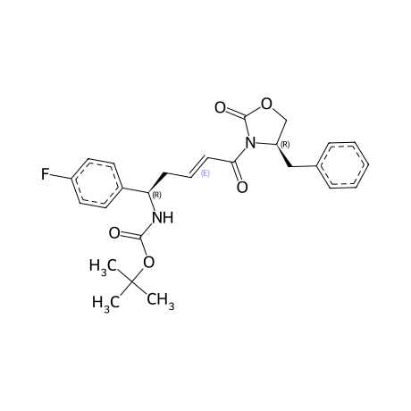 CC(C)(C)OC(=O)N[C@H](C/C=C/C(=O)N1C(=O)OC[C@H]1Cc1ccccc1)c1ccc(F)cc1